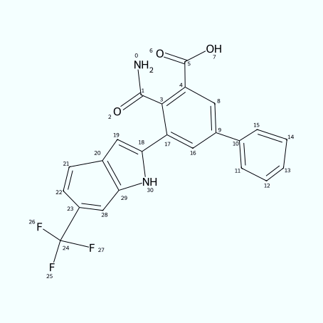 NC(=O)c1c(C(=O)O)cc(-c2ccccc2)cc1-c1cc2ccc(C(F)(F)F)cc2[nH]1